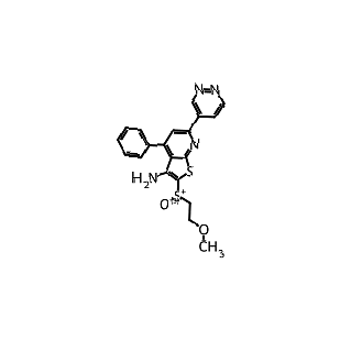 COCC[S@@+]([O-])c1sc2nc(-c3ccnnc3)cc(-c3ccccc3)c2c1N